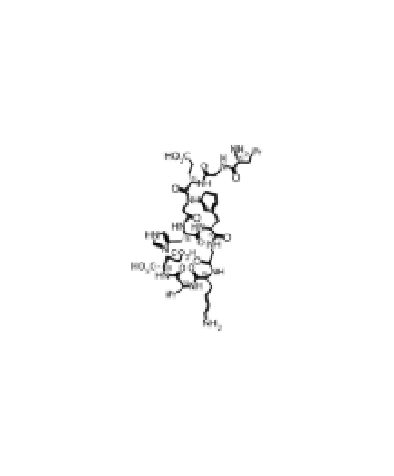 CC(C)C[C@H](N)C(=O)NCC(=O)N[C@@H](CCC(=O)O)C(=O)NCC(=O)N[C@@H](Cc1c[nH]cn1)C(=O)N[C@@H](Cc1ccccc1)C(=O)NCC(=O)N[C@@H](CCCCN)C(=O)N[C@H](C(=O)N[C@@H](CCC(=O)O)C(=O)O)C(C)C